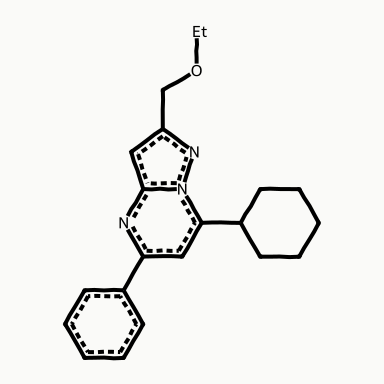 CCOCc1cc2nc(-c3ccccc3)cc(C3CCCCC3)n2n1